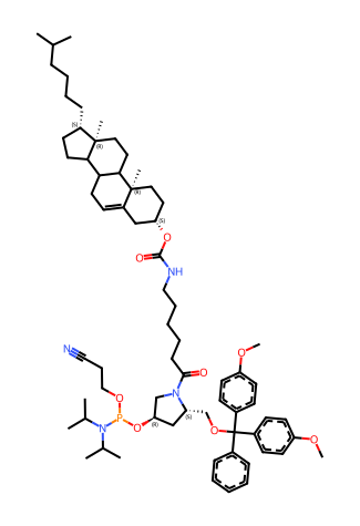 COc1ccc(C(OC[C@@H]2C[C@@H](OP(OCCC#N)N(C(C)C)C(C)C)CN2C(=O)CCCCCNC(=O)O[C@H]2CC[C@@]3(C)C(=CCC4C3CC[C@@]3(C)C4CC[C@@H]3CCCCC(C)C)C2)(c2ccccc2)c2ccc(OC)cc2)cc1